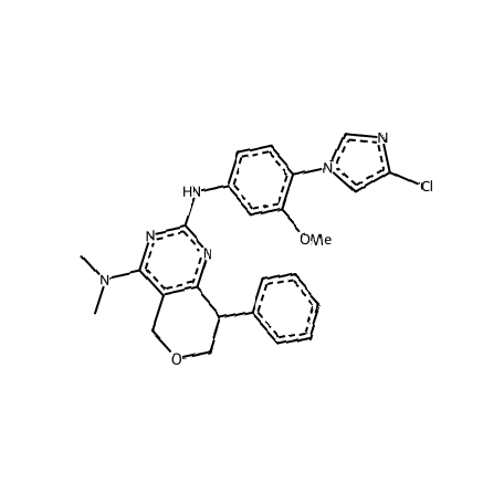 COc1cc(Nc2nc3c(c(N(C)C)n2)COCC3c2ccccc2)ccc1-n1cnc(Cl)c1